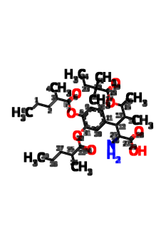 CCCC(C)C(=O)Oc1ccc(C(C(C)C(C)OC(=O)C(C)(C)CC)[C@H](N)C(=O)O)cc1OC(=O)C(C)CCC